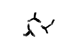 CC(=O)O.COC(C)=O.O=[SH](=O)O